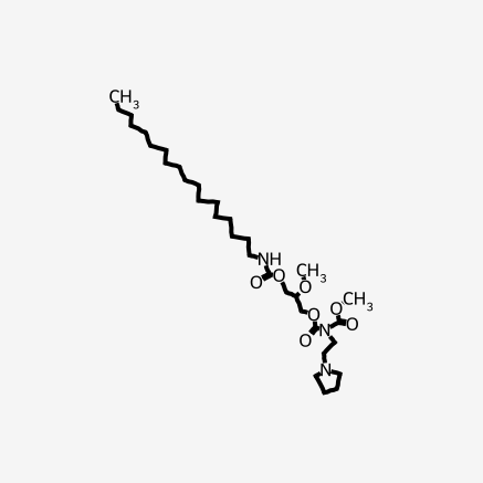 CCCCCCCCCCCCCCCCCCNC(=O)OCC(COC(=O)N(CCN1CCCC1)C(=O)OC)OC